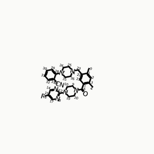 Cc1cc(C)c(C(=O)N2CCN(c3ncc(F)cn3)CC2)cc1CN1CCN(c2ccccc2C#N)CC1